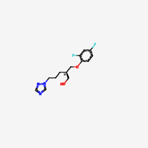 OC[C@@H](CCCn1cncn1)COc1ccc(F)cc1F